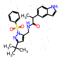 CC(C(=O)NCc1cc(C(C)(C)C)nn1S(=O)(=O)c1ccccc1)c1ccc2[nH]ccc2c1